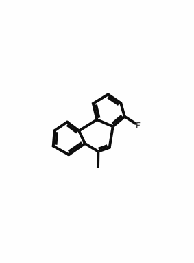 Cc1cc2c(F)cccc2c2ccccc12